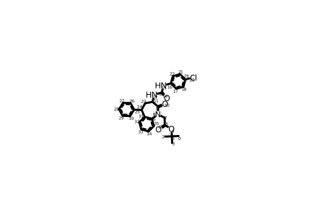 CC(C)(C)OC(=O)CN1C(=O)C(NC(=O)Nc2ccc(Cl)cc2)CC(c2ccccc2)c2ccccc21